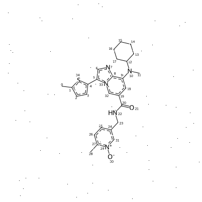 Cc1ccc(-c2cnc3c(N(C)C4CCCCC4)cc(C(=O)NCc4ccc(C)[n+]([O-])c4)cn23)s1